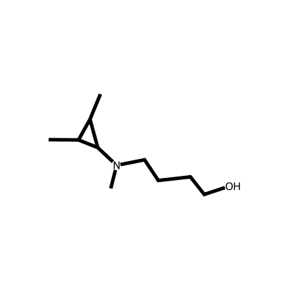 CC1C(C)C1N(C)CCCCO